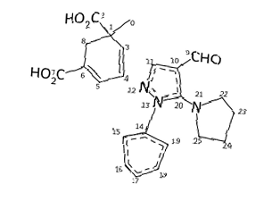 CC1(C(=O)O)C=CC=C(C(=O)O)C1.O=Cc1cnn(-c2ccccc2)c1N1CCCC1